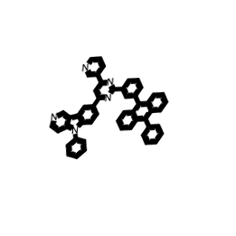 c1ccc(-c2c3ccccc3c(-c3cccc(-c4nc(-c5cccnc5)cc(-c5ccc6c(c5)c5cnccc5n6-c5ccccc5)n4)c3)c3ccccc23)cc1